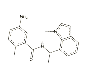 Cc1ccc(N)cc1C(=O)NC(C)c1cccc2ccn(C)c12